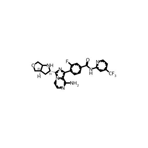 Nc1nccn2c([C@@H]3C[C@H]4COCC4N3)nc(-c3ccc(C(=O)Nc4cc(C(F)(F)F)ccn4)cc3F)c12